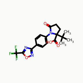 CC(C)(C)C1(C(=O)O)CCC(=O)N1c1ccc(-c2noc(C(F)(F)F)n2)cc1